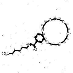 CCCCCCNC(=O)c1ccc2c(c1)OCCOCCOCCOCCOCCO2